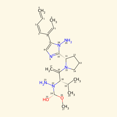 C=C/C=C\C(=C/C)c1cnc([C@@H]2CCCN2C(=C)[C@H](C(C)C)N(N)[C@@H](O)OC)n1N